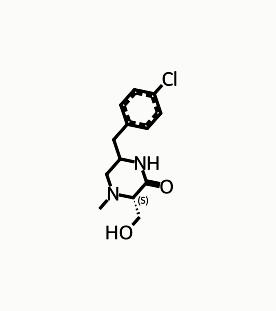 CN1CC(Cc2ccc(Cl)cc2)NC(=O)[C@@H]1CO